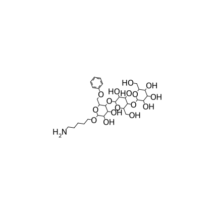 NCCCCCOC1OC(COc2ccccc2)C(OC2OC(CO)C(OC3OC(CO)C(O)C(O)C3O)C(O)C2O)C(O)C1O